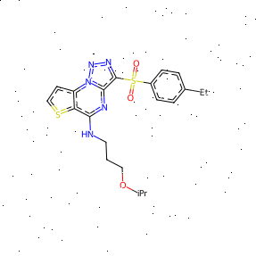 CCc1ccc(S(=O)(=O)c2nnn3c2nc(NCCCOC(C)C)c2sccc23)cc1